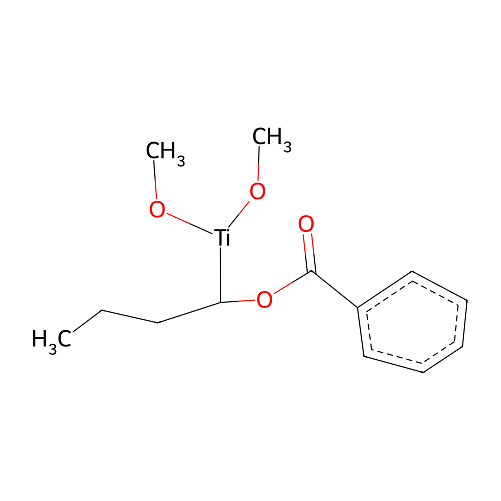 CCC[CH](OC(=O)c1ccccc1)[Ti]([O]C)[O]C